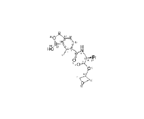 Cc1c(C(=O)N[C@H](C(=O)OC2COC2)C(C)C)ccc2c1B(O)OC2